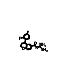 Cc1ccc(C2=CCOc3ccc(C(=O)N=C(N)N)cc32)c(F)c1